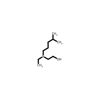 CCN(CCO)CCCC(C)C